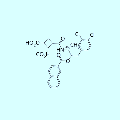 C[C@@H](NC(=O)C1CC(C(=O)O)C1C(=O)O)C(Cc1ccc(Cl)c(Cl)c1)OC(=O)c1ccc2ccccc2c1